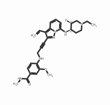 C=Cc1c(C#CCNc2ccc(C(=O)NC)cc2OC)nn2c(N[C@@H]3CCN(CC)C[C@@H]3F)cccc12